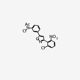 CC(=O)N(Cl)c1cccc(-c2cc(-c3c(Cl)cccc3[N+](=O)[O-])no2)c1